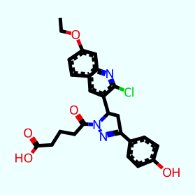 CCOc1ccc2cc(C3CC(c4ccc(O)cc4)=NN3C(=O)CCCC(=O)O)c(Cl)nc2c1